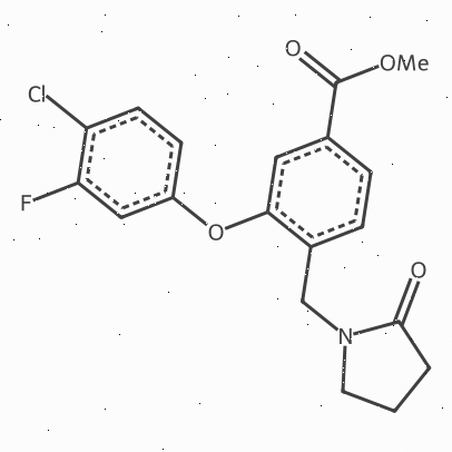 COC(=O)c1ccc(CN2CCCC2=O)c(Oc2ccc(Cl)c(F)c2)c1